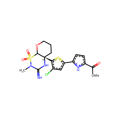 COC(=O)c1ccc(-c2cc(Cl)c([C@]34CCCOC3S(=O)(=O)N(C)C(=N)N4)s2)[nH]1